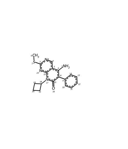 CSc1ncc2c(N)c(-c3ccccc3)c(=O)n(C3CCC3)c2n1